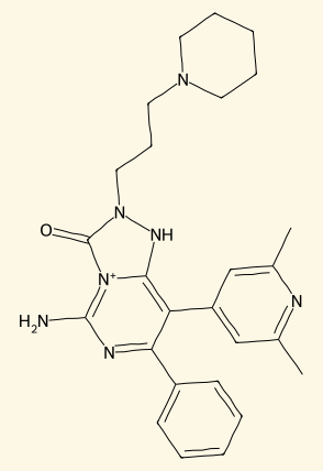 Cc1cc(-c2c(-c3ccccc3)nc(N)[n+]3c(=O)n(CCCN4CCCCC4)[nH]c23)cc(C)n1